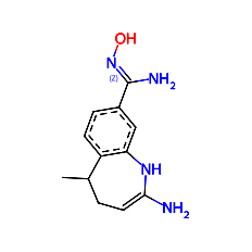 CC1CC=C(N)Nc2cc(/C(N)=N/O)ccc21